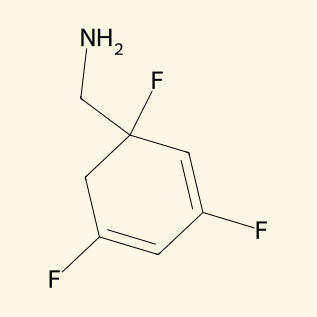 NCC1(F)C=C(F)C=C(F)C1